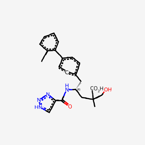 Cc1ccccc1-c1ccc(C[C@H](CC(C)(CO)C(=O)O)NC(=O)c2c[nH]nn2)cc1